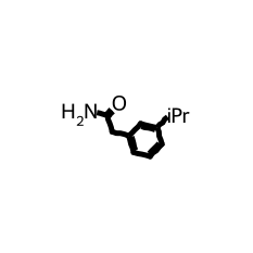 CC(C)c1cccc(CC(N)=O)c1